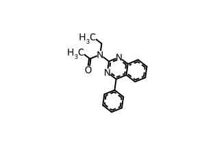 CCN(C(C)=O)c1nc(-c2ccccc2)c2ccccc2n1